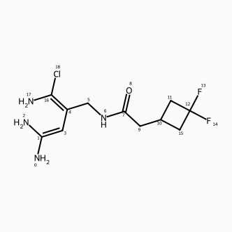 NC(N)=C/C(CNC(=O)CC1CC(F)(F)C1)=C(\N)Cl